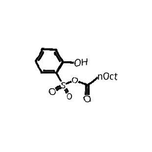 CCCCCCCCC(=O)OS(=O)(=O)c1ccccc1O